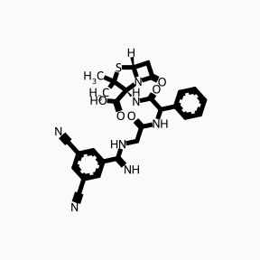 CC1(C)S[C@@H]2CC(=O)N2[C@@]1(NC(=O)C(NC(=O)CNC(=N)c1cc(C#N)cc(C#N)c1)c1ccccc1)C(=O)O